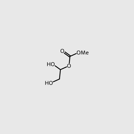 COC(=O)OC(O)CO